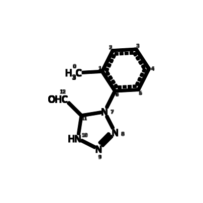 Cc1ccccc1N1N=NNC1C=O